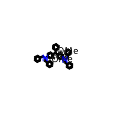 COc1cc(N(Cc2ccccc2)Cc2ccccc2)ccc1C(c1ccccc1)c1ccc(N(Cc2ccccc2)Cc2ccccc2)cc1OC